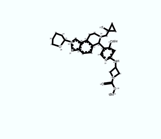 COc1cc(NC2CN(C(=O)OC(C)(C)C)C2)ncc1C1c2ccc3nn(C4CCCCO4)cc3c2CCN1CC1(F)CC1